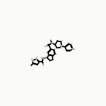 Cc1cc(C(=O)N[C@@H]2CCc3ccc(C(=O)N(C)C4CCN(c5ccncc5)CC4)cc32)no1